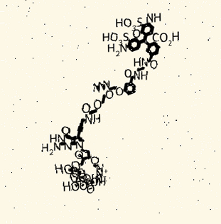 [N-]=[N+]=NCOC1CC(n2cc(C#CCNC(=O)COCCOC(COc3cccc(C(=O)NCCNC(=O)c4ccc(C(=O)O)c(-c5c6ccc(=N)c(S(=O)(=O)O)c-6oc6c(S(=O)(=O)O)c(N)ccc56)c4)c3)N=[N+]=[N-])c3c(=O)[nH]c(N)nc32)OC1COP(=O)(O)OP(=O)(O)OP(=O)(O)O